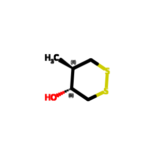 C[C@H]1CSSC[C@@H]1O